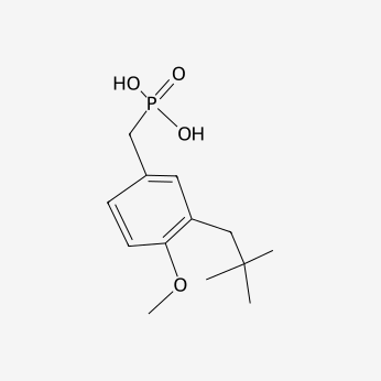 COc1ccc(CP(=O)(O)O)cc1CC(C)(C)C